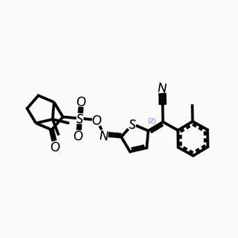 Cc1ccccc1/C(C#N)=C1\C=CC(=NOS(=O)(=O)C2C(=O)C3CCC2C3(C)C)S1